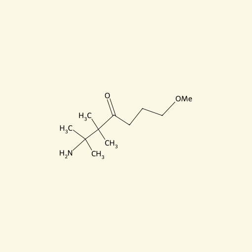 COCCCC(=O)C(C)(C)C(C)(C)N